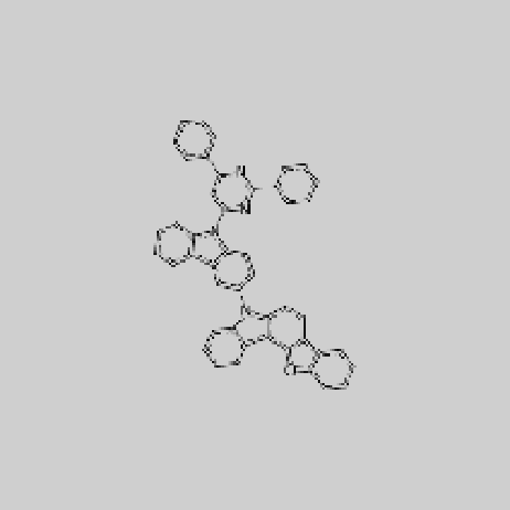 c1ccc(-c2cc(-n3c4ccccc4c4cc(-n5c6ccccc6c6c7oc8ccccc8c7ccc65)ccc43)nc(-c3ccccc3)n2)cc1